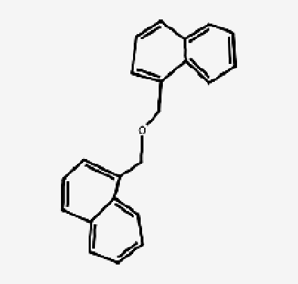 c1ccc2c(COCc3cccc4ccccc34)cccc2c1